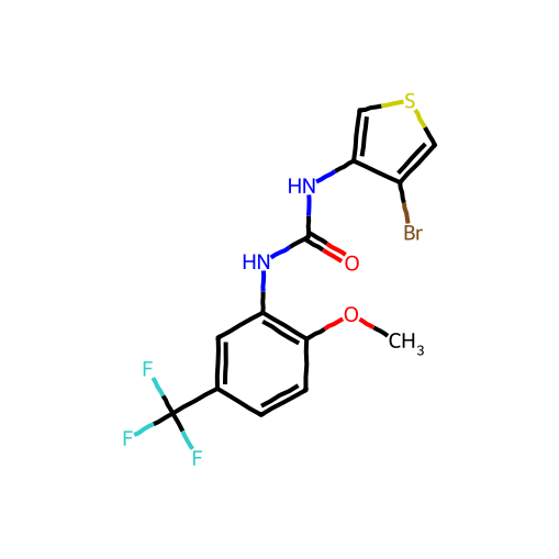 COc1ccc(C(F)(F)F)cc1NC(=O)Nc1cscc1Br